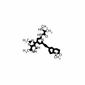 CNc1c(C(C)=N)nc(C)nc1-c1cc(C#Cc2ccc3c(ccc(=O)n3C)c2)nc(NC(=O)C(C)NC)c1